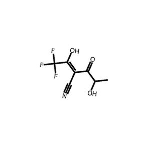 CC(O)C(=O)/C(C#N)=C(\O)C(F)(F)F